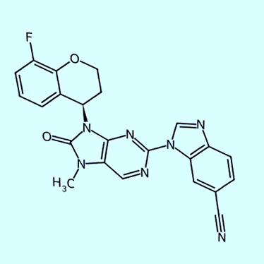 Cn1c(=O)n([C@@H]2CCOc3c(F)cccc32)c2nc(-n3cnc4ccc(C#N)cc43)ncc21